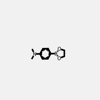 CN(C)c1ccc(B2OCCO2)cc1